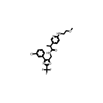 COCCNc1ccc(C(C)C(=O)NCc2oc(C(F)(F)F)nc2-c2cccc(Cl)c2)cn1